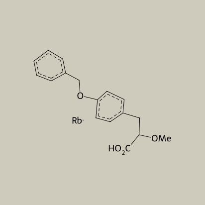 COC(Cc1ccc(OCc2ccccc2)cc1)C(=O)O.[Rb]